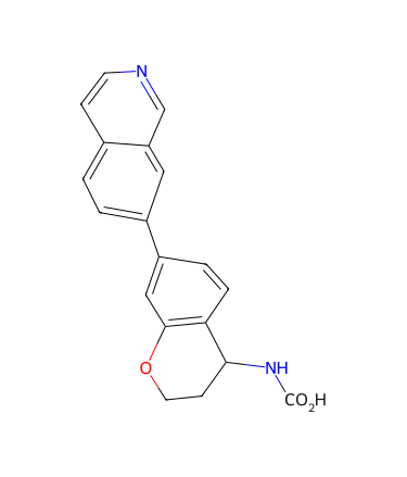 O=C(O)NC1CCOc2cc(-c3ccc4ccncc4c3)ccc21